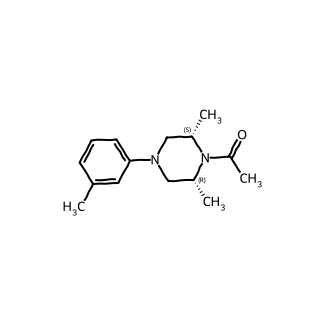 CC(=O)N1[C@H](C)CN(c2cccc(C)c2)C[C@@H]1C